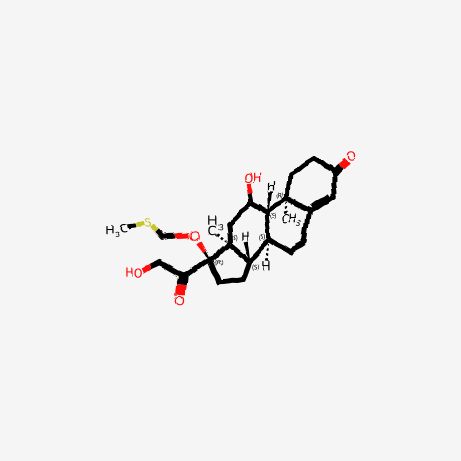 CSCO[C@]1(C(=O)CO)CC[C@H]2[C@@H]3CCC4=CC(=O)CC[C@]4(C)[C@H]3C(O)C[C@@]21C